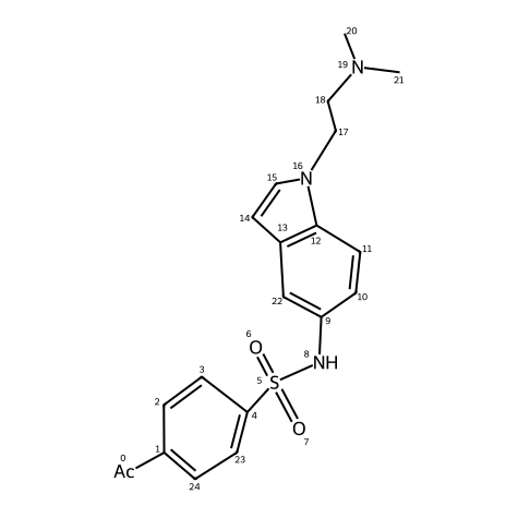 CC(=O)c1ccc(S(=O)(=O)Nc2ccc3c(ccn3CCN(C)C)c2)cc1